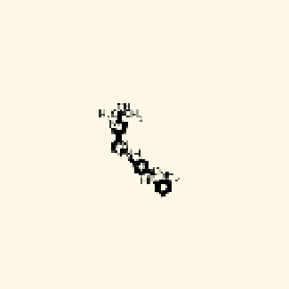 CC(C)(C)c1ccc(-c2ccnc(NCc3ccc(C(=O)Nc4ccccc4N)cc3)n2)cn1